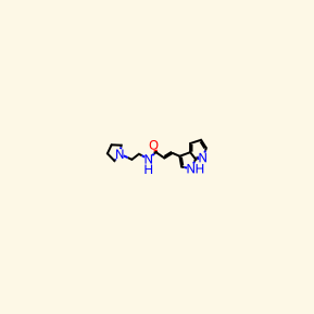 O=C(C=Cc1c[nH]c2ncccc12)NCCN1CCCC1